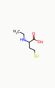 CCNC(CCS)C(=O)O